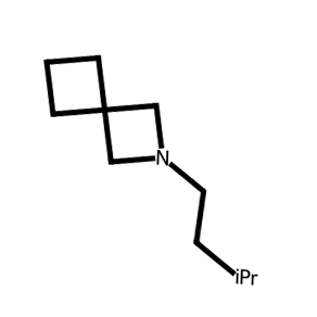 CC(C)CCN1CC2(CCC2)C1